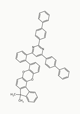 CC1(C)c2ccccc2-c2c1ccc1c2Oc2cccc(-c3ccccc3-c3cc(-c4ccc(-c5ccccc5)cc4)nc(-c4ccc(-c5ccccc5)cc4)n3)c2O1